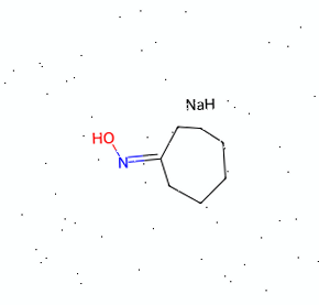 ON=C1CCCCCC1.[NaH]